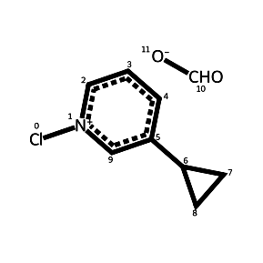 Cl[n+]1cccc(C2CC2)c1.O=C[O-]